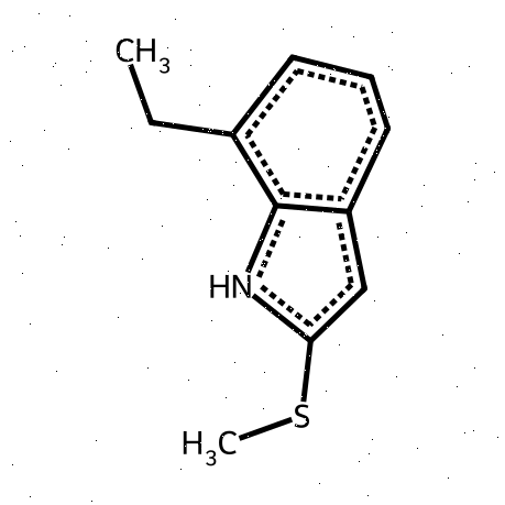 CCc1cccc2cc(SC)[nH]c12